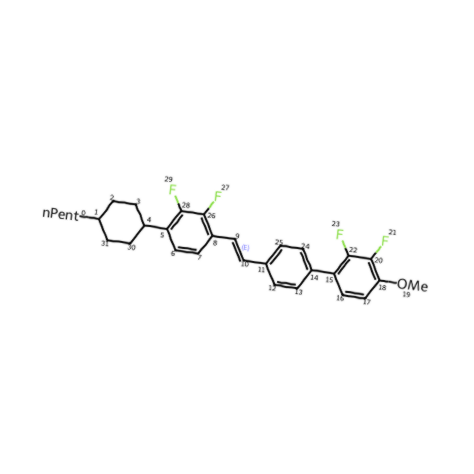 CCCCCC1CCC(c2ccc(/C=C/c3ccc(-c4ccc(OC)c(F)c4F)cc3)c(F)c2F)CC1